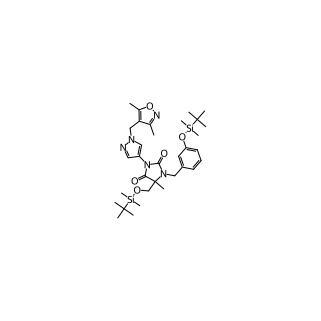 Cc1noc(C)c1Cn1cc(N2C(=O)N(Cc3cccc(O[Si](C)(C)C(C)(C)C)c3)C(C)(CO[Si](C)(C)C(C)(C)C)C2=O)cn1